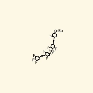 CCCCOc1ccc(C#Cc2cc(F)c(C(F)(F)Oc3cc(F)c(C#Cc4cc(F)c(F)c(F)c4)c(F)c3)c(F)c2)c(F)c1